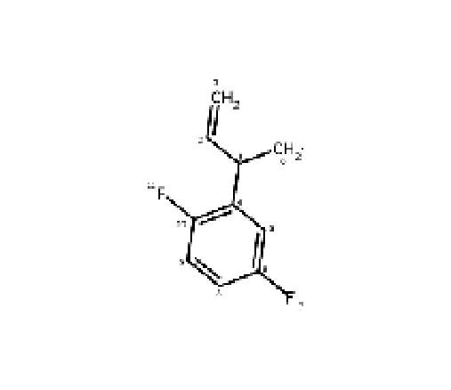 [CH2]C(C=C)c1cc(F)ccc1F